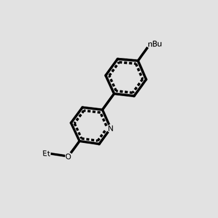 CCCCc1ccc(-c2ccc(OCC)cn2)cc1